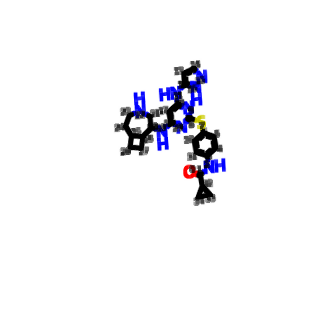 O=C(Nc1ccc(Sc2nc(Nc3ccn[nH]3)cc(N[C@@H]3CNCCC4CCC43)n2)cc1)C1CC1